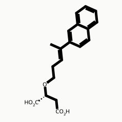 CC(=CCCO[C@H](CC(=O)O)C(=O)O)c1ccc2ccccc2c1